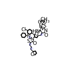 CS(=O)(=O)C1=NN2C(=N)/C(=C\c3cc(N4C(=O)/C(=C\C=C\c5ccco5)S/C4=N\c4ccccc4)c(-c4ccc(Cl)cc4)o3)C(=O)N=C2S1